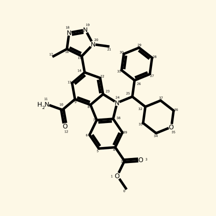 COC(=O)c1ccc2c3c(C(N)=O)cc(-c4c(C)nnn4C)cc3n(C(c3ccccc3)C3CCOCC3)c2c1